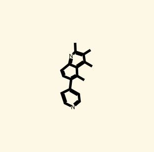 Cc1nc2ccc(-c3ccncc3)c(C)c2c(C)c1C